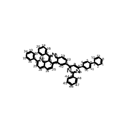 c1ccc(-c2ccc(-c3cc(-c4ccc5nc(-c6ccccc6)c6c(ccc7ccc(-c8ccccc8)nc76)c5c4)nc(-c4ccccc4)n3)cc2)cc1